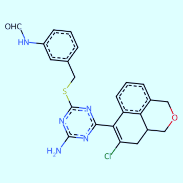 Nc1nc(SCc2cccc(NC=O)c2)nc(C2=C(Cl)CC3COCc4cccc2c43)n1